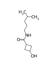 CC(C)CCCNC(=O)C1CC(O)C1